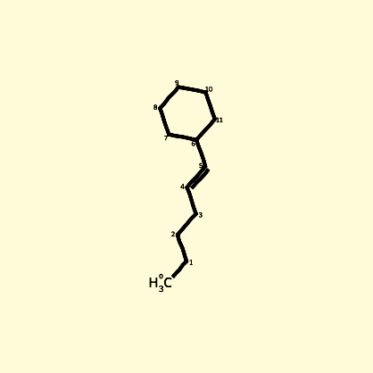 CCCCC=CC1CCCCC1